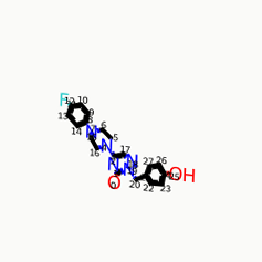 O=c1nc(N2CCN(c3ccc(F)cc3)CC2)cnn1Cc1ccc(O)cc1